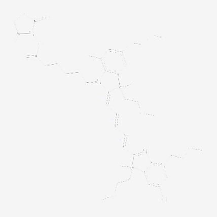 COCC[n+]1cc(Cl)cc2c1N=C(/C=C/C=C/C=C1/N(CCCCCC(=O)ON3C(=O)CCC3=O)c3c(C)cc(SOO[O-])cc3C1(C)CCOC)C2(C)CCOC